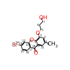 Cc1cc(OCCCO)c2oc3cc(Br)ccc3c(=O)c2c1